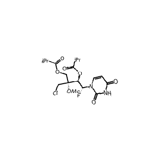 CO[C@](CCl)(COC(=O)C(C)C)[C@@H](OC(=O)C(C)C)[C@@H](F)n1ccc(=O)[nH]c1=O